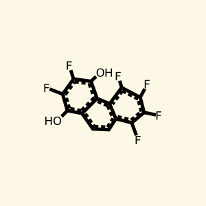 Oc1c(F)c(F)c(O)c2c1ccc1c(F)c(F)c(F)c(F)c12